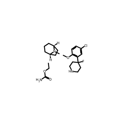 CCOC(N)=O.CN1[C@@H]2CCC[C@H]1CC2.COc1ccc(Cl)cc1C1(F)CCNCC1